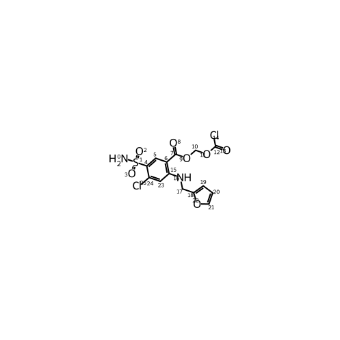 NS(=O)(=O)c1cc(C(=O)OCOC(=O)Cl)c(NCc2ccco2)cc1Cl